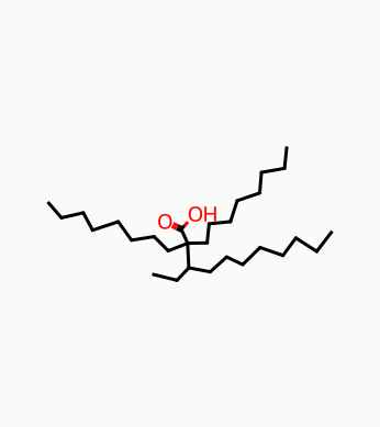 CCCCCCCCC(CC)C(CCCCCCCC)(CCCCCCCC)C(=O)O